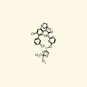 CC1(C)OC[C@@H](COc2ccnc(NC(=O)N3c4nc(-c5cccc(C(F)(F)F)c5)c(Cl)cc4N4CC[C@H]3C4)n2)O1